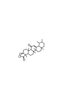 CC1CCC2(C)CCC3(C)C(=CC(=O)C4C5(C)CCC(=O)C(C)(C(=O)Cl)C5CCC43C)C2C1C